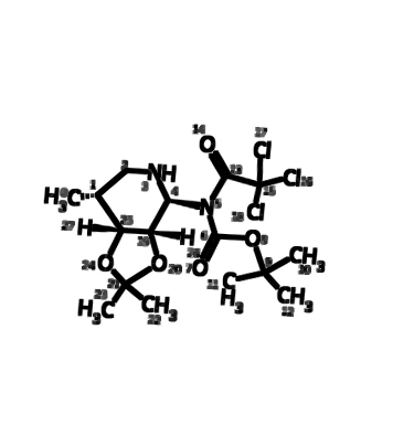 C[C@@H]1CN[C@@H](N(C(=O)OC(C)(C)C)C(=O)C(Cl)(Cl)Cl)[C@@H]2OC(C)(C)O[C@@H]21